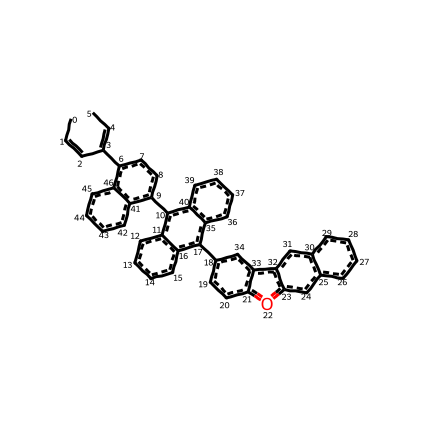 C/C=C\C(=C/C)c1ccc(-c2c3ccccc3c(-c3ccc4oc5cc6ccccc6cc5c4c3)c3ccccc23)c2ccccc12